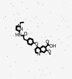 CCn1ccc(NC(=O)Cc2ccc(Oc3ccnc4cc(OC)c(C(=O)O)cc34)cc2)n1